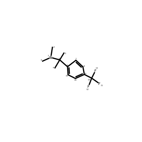 [CH3][Bi]([CH3])[C](C)(C)c1ccc(C(F)(F)F)cc1